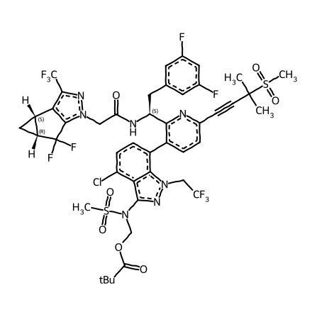 CC(C)(C)C(=O)OCN(c1nn(CC(F)(F)F)c2c(-c3ccc(C#CC(C)(C)S(C)(=O)=O)nc3[C@H](Cc3cc(F)cc(F)c3)NC(=O)Cn3nc(C(F)(F)F)c4c3C(F)(F)[C@@H]3C[C@H]43)ccc(Cl)c12)S(C)(=O)=O